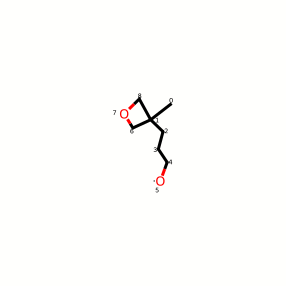 CC1(CCC[O])COC1